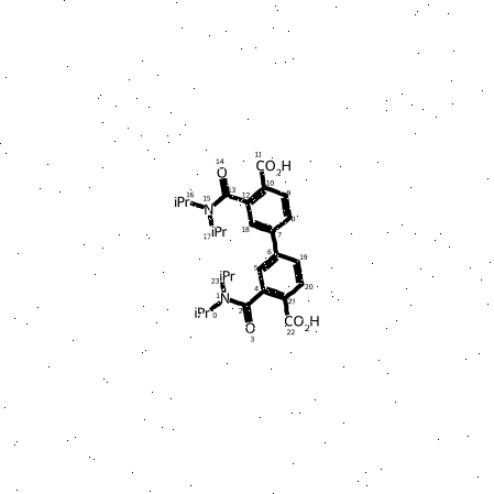 CC(C)N(C(=O)c1cc(-c2ccc(C(=O)O)c(C(=O)N(C(C)C)C(C)C)c2)ccc1C(=O)O)C(C)C